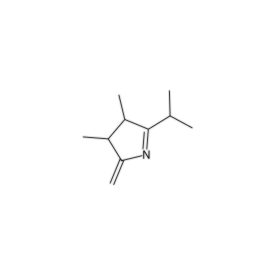 C=C1N=C(C(C)C)C(C)C1C